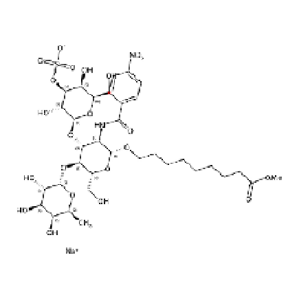 COC(=O)CCCCCCCCO[C@@H]1O[C@H](CO)[C@@H](O[C@@H]2O[C@@H](C)[C@@H](O)[C@@H](O)[C@@H]2O)[C@H](O[C@@H]2O[C@H](CO)[C@H](O)[C@H](OS(=O)(=O)[O-])[C@H]2O)[C@H]1NC(=O)c1ccc([N+](=O)[O-])cc1.[Na+]